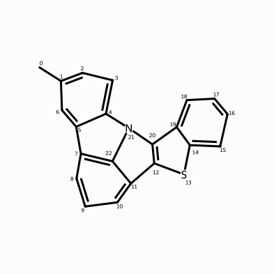 Cc1ccc2c(c1)c1cccc3c4sc5ccccc5c4n2c13